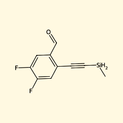 C[SiH2]C#Cc1cc(F)c(F)cc1C=O